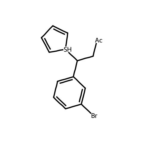 CC(=O)CC(c1cccc(Br)c1)[SH]1C=CC=C1